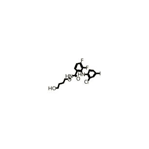 O=C(NOCCCCO)c1ccc(F)c(F)c1Nc1ccc(I)cc1Cl